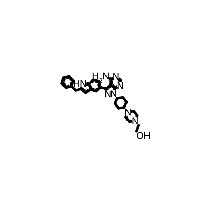 Nc1ncnc2c1c(-c1ccc3[nH]c(Cc4ccccc4)cc3c1)nn2[C@H]1CC[C@H](N2CCN(CCO)CC2)CC1